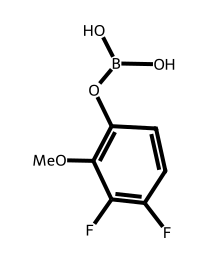 COc1c(OB(O)O)ccc(F)c1F